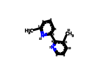 Cc1cc[c]c(-c2ncccc2C)n1